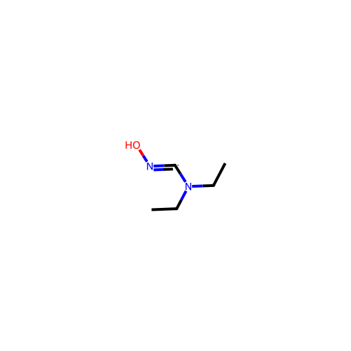 CCN([C]=NO)CC